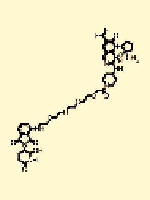 C[C@@]1(O)CCC[C@H]1n1c(=O)c(C(F)F)cc2cnc(NC3CCN(C(=O)COCCOCCOCCOCCNc4cccc5c4C(=O)N(C4CCC(=O)NC4O)C5=O)CC3)nc21